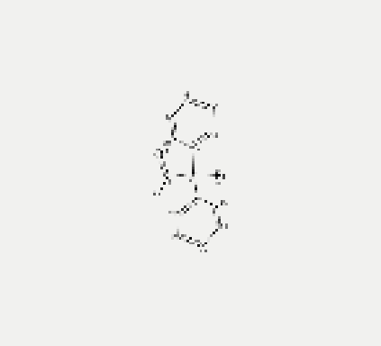 CC(=O)C(Br)(c1ccccc1)c1ccccc1